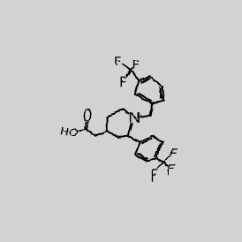 O=C(O)CC1CCN(Cc2cccc(C(F)(F)F)c2)C(c2ccc(C(F)(F)F)cc2)C1